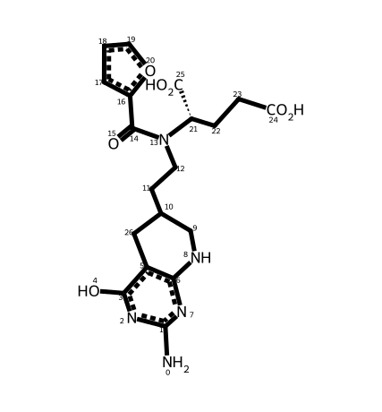 Nc1nc(O)c2c(n1)NCC(CCN(C(=O)c1ccco1)[C@@H](CCC(=O)O)C(=O)O)C2